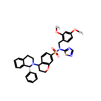 COc1ccc(CN(c2ncns2)S(=O)(=O)c2ccc3c(c2)OCCC3N2CCc3ccccc3[C@H]2c2ccccc2)c(OC)c1